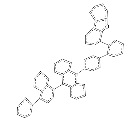 c1ccc(-c2ccc(-c3c4ccccc4c(-c4ccc(-c5ccccc5-c5cccc6c5oc5ccccc56)cc4)c4ccccc34)c3ccccc23)cc1